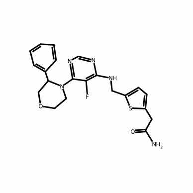 NC(=O)Cc1ccc(CNc2ncnc(N3CCOCC3c3ccccc3)c2F)s1